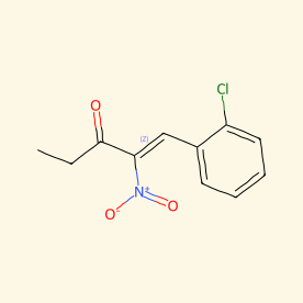 CCC(=O)/C(=C/c1ccccc1Cl)[N+](=O)[O-]